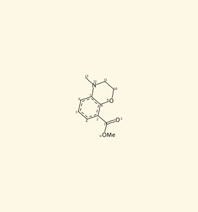 COC(=O)c1cccc2c1OCCN2C